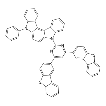 C1=CC2c3c(ccc4c3c3ccccc3n4-c3nc(-c4ccc5sc6ccccc6c5c4)cc(-c4ccc5sc6ccccc6c5c4)n3)N(c3ccccc3)C2C=C1